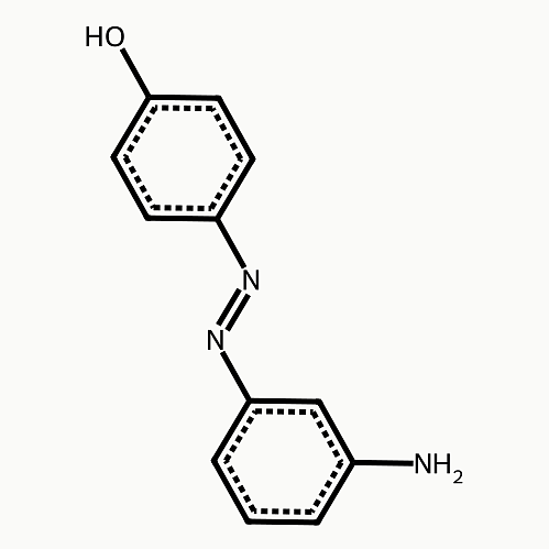 Nc1cccc(N=Nc2ccc(O)cc2)c1